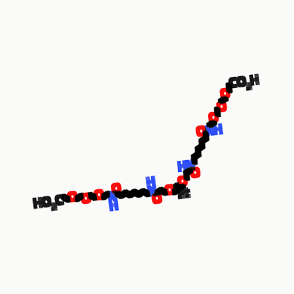 CCC(C)(COCCC(=O)NCCCCCCCC(=O)NCCOCCOCCOCCC(=O)O)COCCC(=O)NCCCCCCCC(=O)NCCOCCOCCOCCC(=O)O